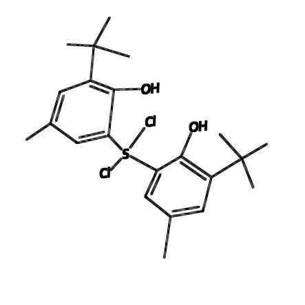 Cc1cc(C(C)(C)C)c(O)c(S(Cl)(Cl)c2cc(C)cc(C(C)(C)C)c2O)c1